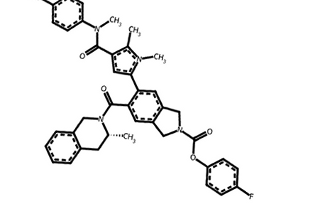 Cc1c(C(=O)N(C)c2ccc(O)cc2)cc(-c2cc3c(cc2C(=O)N2Cc4ccccc4C[C@H]2C)CN(C(=O)Oc2ccc(F)cc2)C3)n1C